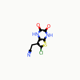 N#CCc1c(Cl)sc2[nH]c(=O)c(=O)[nH]c12